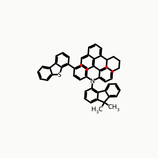 CC1(C)c2ccccc2-c2c(N(c3ccc(-c4cccc5c4sc4ccccc45)cc3)c3ccccc3-c3cccc4cccc(C5CCCCC5)c34)cccc21